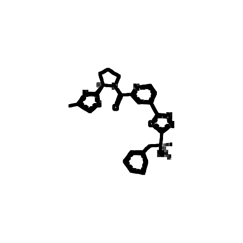 Cc1csc([C@H]2CCCN2C(=O)c2cc(-c3nnc([C@@](C)(N)Cc4ccccc4)o3)ccn2)n1